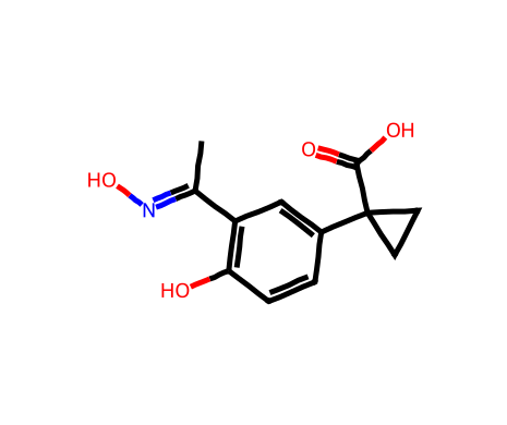 CC(=NO)c1cc(C2(C(=O)O)CC2)ccc1O